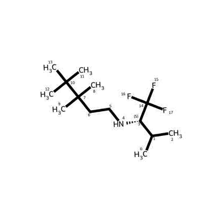 CC(C)[C@H](NCCC(C)(C)C(C)(C)C)C(F)(F)F